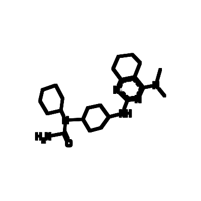 CN(C)c1nc(NC2CCC(N(C(N)=O)C3CCCCC3)CC2)nc2c1CCCC2